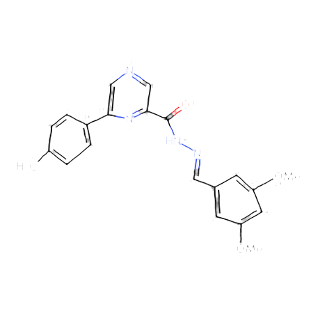 COc1cc(C=NNC(=O)c2cncc(-c3ccc(C)cc3)n2)cc(OC)c1